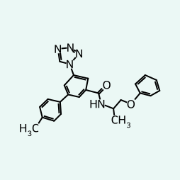 Cc1ccc(-c2cc(C(=O)NC(C)COc3ccccc3)cc(-n3cnnn3)c2)cc1